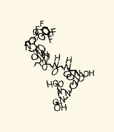 CCC(C)C(NC(=O)CCNC(=O)CCNC(=O)CN(CC(=O)O)C(=O)CN1CCC(CN2CCN(CC(=O)O)CCN(CC(=O)O)CC2)CC1)C(=O)N[C@H]1CCn2ccc3c2C(=C[C@@H](C(=O)Oc2c(F)c(F)cc(F)c2F)C3)C1=O